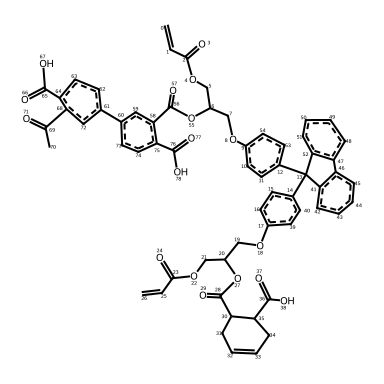 C=CC(=O)OCC(COc1ccc(C2(c3ccc(OCC(COC(=O)C=C)OC(=O)C4CC=CCC4C(=O)O)cc3)c3ccccc3-c3ccccc32)cc1)OC(=O)c1cc(-c2ccc(C(=O)O)c(C(C)=O)c2)ccc1C(=O)O